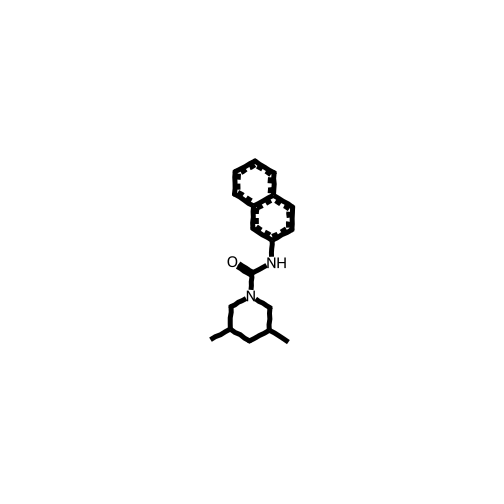 CC1CC(C)CN(C(=O)Nc2ccc3ccccc3c2)C1